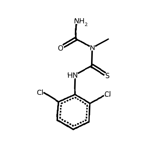 CN(C(N)=O)C(=S)Nc1c(Cl)cccc1Cl